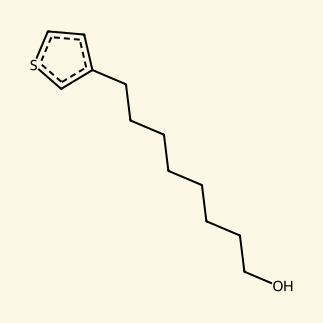 OCCCCCCCCc1ccsc1